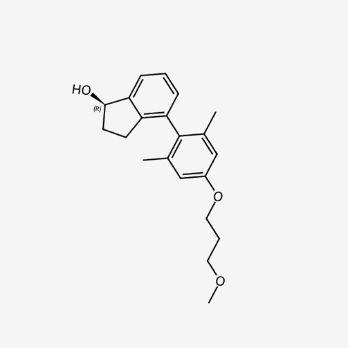 COCCCOc1cc(C)c(-c2cccc3c2CC[C@H]3O)c(C)c1